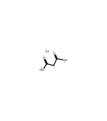 O=C(O)CC(=O)O.[Ca]